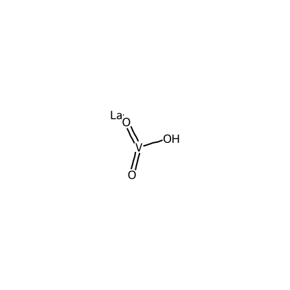 [La].[O]=[V](=[O])[OH]